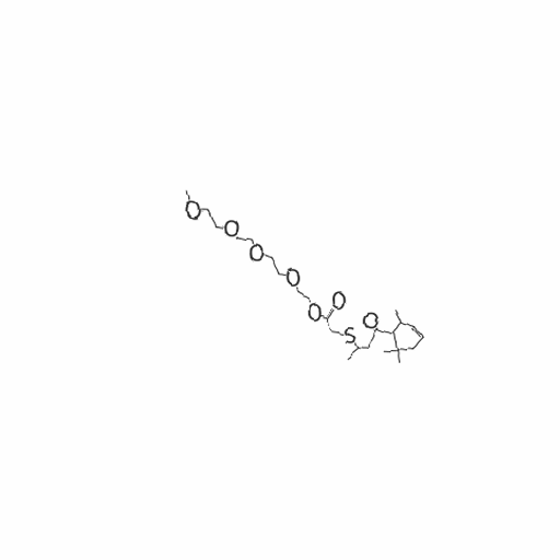 COCCOCCOCCOCCOC(=O)CSC(C)CC(=O)C1C(C)C=CCC1(C)C